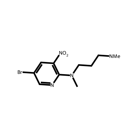 CNCCCN(C)c1ncc(Br)cc1[N+](=O)[O-]